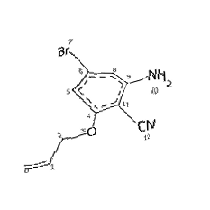 C=CCOc1cc(Br)cc(N)c1C#N